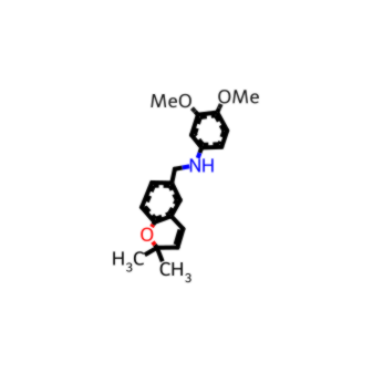 COc1ccc(NCc2ccc3c(c2)C=CC(C)(C)O3)cc1OC